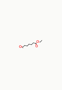 CCOC(=O)CCCCC[C]=O